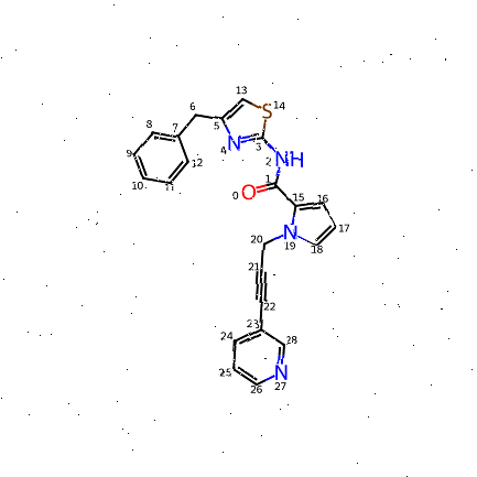 O=C(Nc1nc(Cc2ccccc2)cs1)c1cccn1CC#Cc1cccnc1